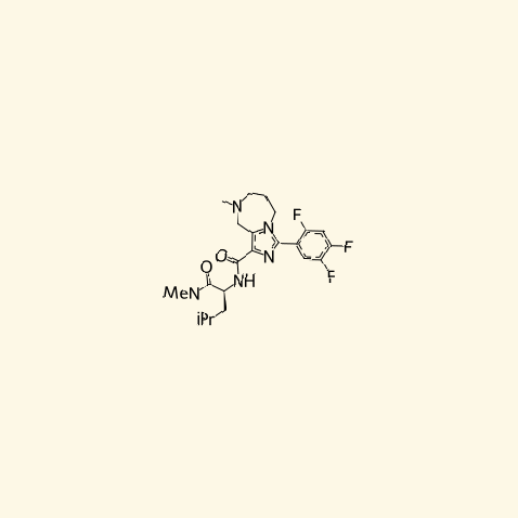 CNC(=O)[C@H](CC(C)C)NC(=O)c1nc(-c2cc(F)c(F)cc2F)n2c1CN(C)CCC2